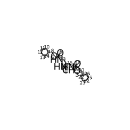 CNC(CNC(=O)OCc1ccccc1)CNC(=O)OCc1ccccc1